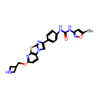 CC(C)(C)c1cc(NC(=O)Nc2ccc(-c3cn4c(n3)sc3nc(OCC5CNC5)ccc34)cc2)no1